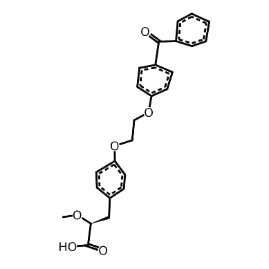 CO[C@@H](Cc1ccc(OCCOc2ccc(C(=O)c3ccccc3)cc2)cc1)C(=O)O